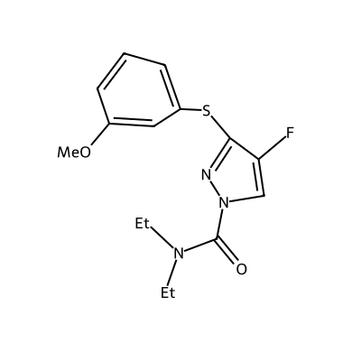 CCN(CC)C(=O)n1cc(F)c(Sc2cccc(OC)c2)n1